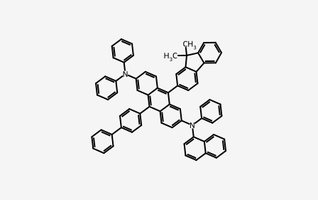 CC1(C)c2ccccc2-c2ccc(-c3c4ccc(N(c5ccccc5)c5ccccc5)cc4c(-c4ccc(-c5ccccc5)cc4)c4ccc(N(c5ccccc5)c5cccc6ccccc56)cc34)cc21